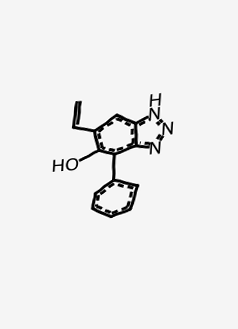 C=Cc1cc2[nH]nnc2c(-c2ccccc2)c1O